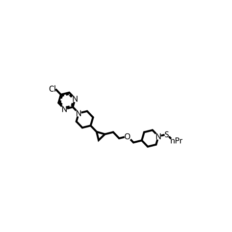 CCCSN1CCC(COCCC2CC2C2CCN(c3ncc(Cl)cn3)CC2)CC1